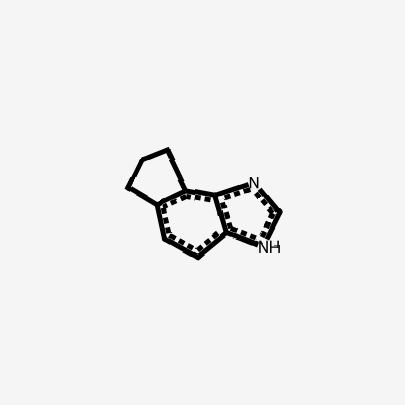 c1nc2c3c(ccc2[nH]1)CCC3